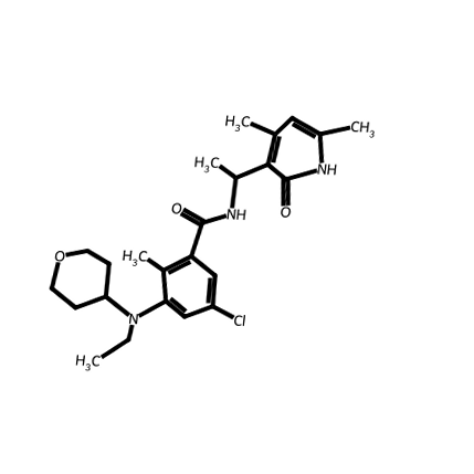 CCN(c1cc(Cl)cc(C(=O)NC(C)c2c(C)cc(C)[nH]c2=O)c1C)C1CCOCC1